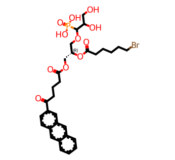 O=C(CCCC(=O)c1ccc2cc3ccccc3cc2c1)OC[C@H](COC(C(O)CO)P(=O)(O)O)OC(=O)CCCCCBr